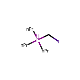 CCC[PH](CI)(CCC)CCC